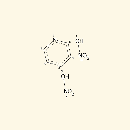 O=[N+]([O-])O.O=[N+]([O-])O.c1ccncc1